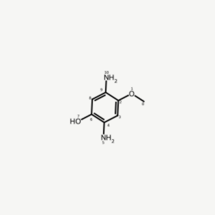 COc1cc(N)c(O)cc1N